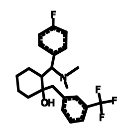 CN(C)C(c1ccc(F)cc1)C1CCCCC1(O)Cc1cccc(C(F)(F)F)c1